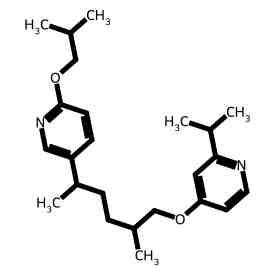 CC(C)COc1ccc(C(C)CCC(C)COc2ccnc(C(C)C)c2)cn1